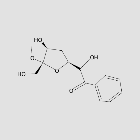 CO[C@@]1(CO)O[C@H](C(O)C(=O)c2ccccc2)C[C@@H]1O